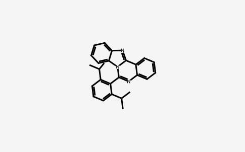 CC(C)c1cccc(C(C)C)c1-c1nc2ccccc2c2nc3ccccc3n12